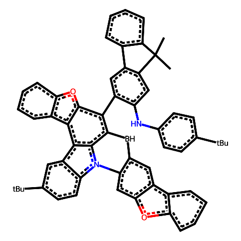 CC(C)(C)c1ccc(Nc2cc3c(cc2-c2c4c5c(c6cc(C(C)(C)C)ccc6n5-c5cc6oc7ccccc7c6cc5B4)c4c2oc2ccccc24)-c2ccccc2C3(C)C)cc1